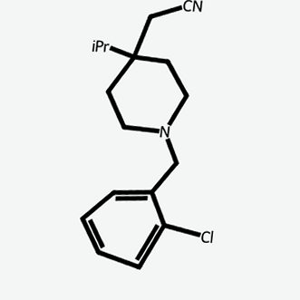 CC(C)C1(CC#N)CCN(Cc2ccccc2Cl)CC1